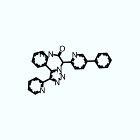 NC(=O)C(c1ccc(-c2ccccc2)cn1)n1nnc(-c2ccccn2)c1-c1ccccc1